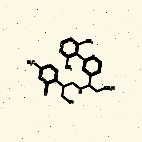 Cc1ccn(C(CNC(CC(=O)O)c2ccnc(-c3c(C)cccc3C)c2)CC(C)C)c(=O)c1